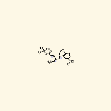 CC(C)(C)OC(=O)/C=N/C(=C\N)/C=C1\CCOc2ccc([N+](=O)[O-])cc21